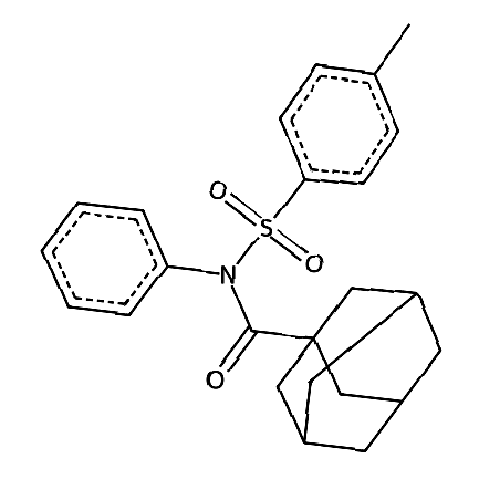 Cc1ccc(S(=O)(=O)N(C(=O)C23CC4CC(CC(C4)C2)C3)c2ccccc2)cc1